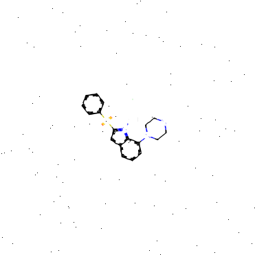 Cl.Cn1c(S(=O)(=O)c2ccccc2)cc2cccc(N3CCNCC3)c21